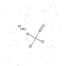 C#[N+]C(Cl)(Cl)Cl.Cl.[Cl-]